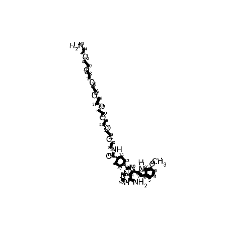 COc1cccc2cc(-c3nc([C@H]4CC[C@H](C(=O)NCCOCCOCCOCCOCCOCCOCCOCCOCCN)CC4)n4ncnc(N)c34)[nH]c12